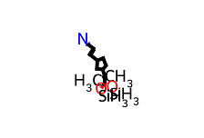 CC(C)(C1CCC(C=CC#N)C1)C(O[SiH3])O[SiH3]